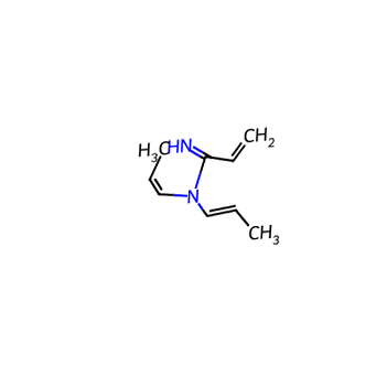 C=CC(=N)N(/C=C\C)/C=C/C